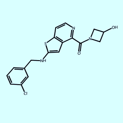 O=C(c1nccc2sc(NCc3cccc(Cl)c3)cc12)N1CC(O)C1